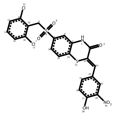 O=C1Nc2cc(S(=O)(=O)Cc3c(Cl)cccc3Cl)ccc2SC1=Cc1ccc(O)c([N+](=O)[O-])c1